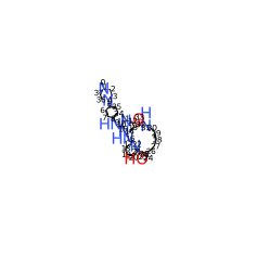 CN1CCN(c2ccc(Nc3ncc4c(n3)NC3CC=CC(=N3)C(C)(O)CC/C=C\CNC4=O)cc2)CC1